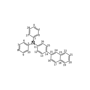 [c]1ccc(N(c2ccccc2)c2ccc(-c3ccc4ccccc4c3)cc2)cc1